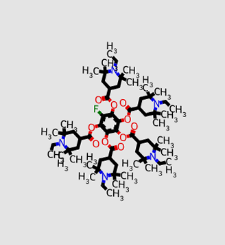 CCN1C(C)(C)CC(C(=O)Oc2c(F)c(OC(=O)C3CC(C)(C)N(CC)C(C)(C)C3)c(OC(=O)C3CC(C)(C)N(CC)C(C)(C)C3)c(OC(=O)C3CC(C)(C)N(CC)C(C)(C)C3)c2OC(=O)C2CC(C)(C)N(CC)C(C)(C)C2)CC1(C)C